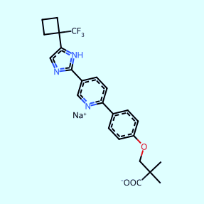 CC(C)(COc1ccc(-c2ccc(-c3ncc(C4(C(F)(F)F)CCC4)[nH]3)cn2)cc1)C(=O)[O-].[Na+]